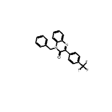 O=c1c(-c2ccc(C(F)(F)F)cc2)nc2ccccc2n1Cc1ccccc1